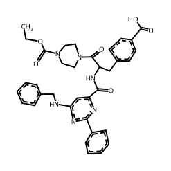 CCOC(=O)N1CCN(C(=O)C(Cc2ccc(C(=O)O)cc2)NC(=O)c2cc(NCc3ccccc3)nc(-c3ccccc3)n2)CC1